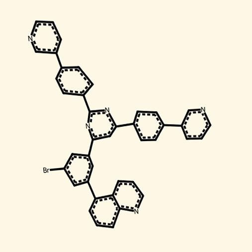 Brc1cc(-c2cc(-c3ccc(-c4cccnc4)cc3)nc(-c3ccc(-c4cccnc4)cc3)n2)cc(-c2cccc3ncccc23)c1